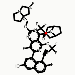 C#Cc1c(F)ccc2cc(O)cc(-c3nc(OC(F)(F)F)c4c(N5CC6CCC(C5)N6C(=O)C(F)(F)F)nc(OC[C@]56CCCN5C[C@@H](F)C6)nc4c3F)c12